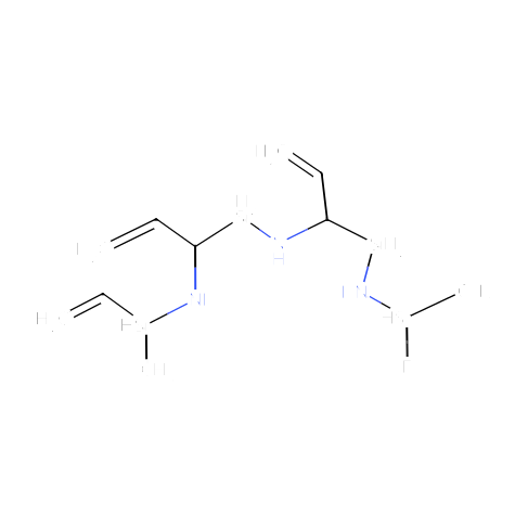 C=CC(N[SiH2]C(C=C)N[SiH](C)C=C)[SiH2]N[SiH](C)CC